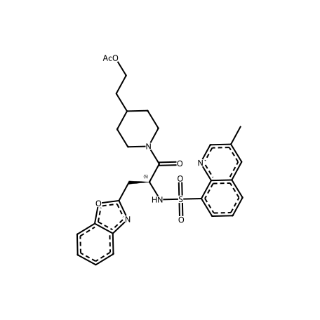 CC(=O)OCCC1CCN(C(=O)[C@H](Cc2nc3ccccc3o2)NS(=O)(=O)c2cccc3cc(C)cnc23)CC1